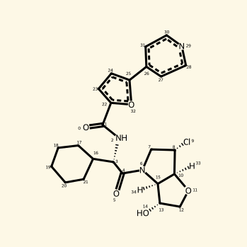 O=C(N[C@H](C(=O)N1C[C@H](Cl)[C@H]2OC[C@H](O)[C@H]21)C1CCCCC1)c1ccc(-c2ccncc2)o1